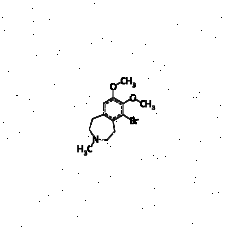 COc1cc2c(c(Br)c1OC)CCN(C)CC2